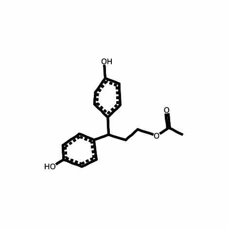 CC(=O)OCCC(c1ccc(O)cc1)c1ccc(O)cc1